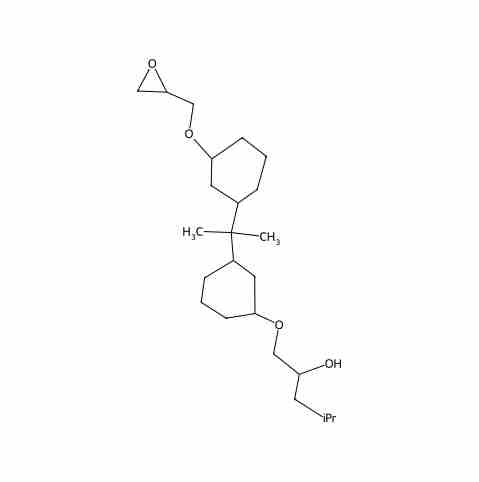 CC(C)CC(O)COC1CCCC(C(C)(C)C2CCCC(OCC3CO3)C2)C1